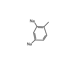 Cc1cc[c]([Na])c[c]1[Na]